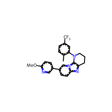 COc1ccc(-c2ccc3nc4c(n3c2)N(c2cc(C(F)(F)F)ccc2C)CCC4)cn1